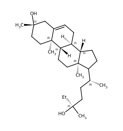 CC[C@](C)(O)CC[C@@H](C)C1CC[C@H]2[C@@H]3CC=C4C[C@@](C)(O)CC[C@]4(C)[C@H]3CC[C@]12C